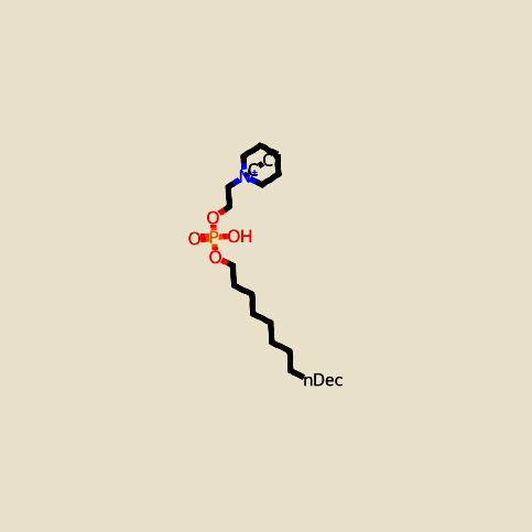 CCCCCCCCCCCCCCCCCCOP(=O)(O)OCC[N+]12CCC(CC1)CC2